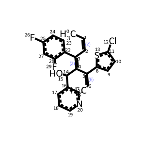 C\C=C/C(=C(\C(=C/C)c1ccc(Cl)s1)C(O)c1cccnc1)c1ccc(F)cc1F